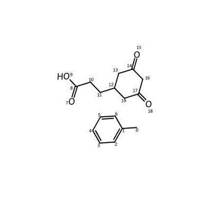 Cc1ccccc1.O=C(O)CCC1CC(=O)CC(=O)C1